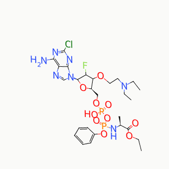 CCOC(=O)[C@H](C)NP(=O)(Oc1ccccc1)OP(=O)(O)OC[C@H]1O[C@@H](n2cnc3c(N)nc(Cl)nc32)C(F)C1OCCN(CC)CC